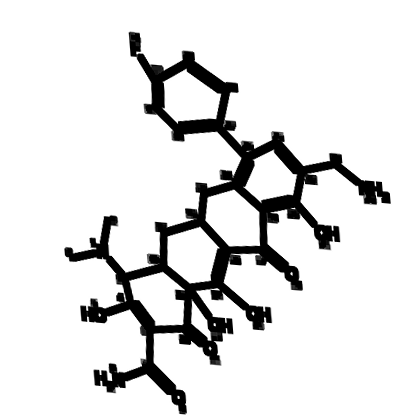 CN(C)C1C(O)=C(C(N)=O)C(=O)C2(O)C(O)=C3C(=O)c4c(O)c(CN)cc(-c5ccc(F)cc5)c4CC3CC12